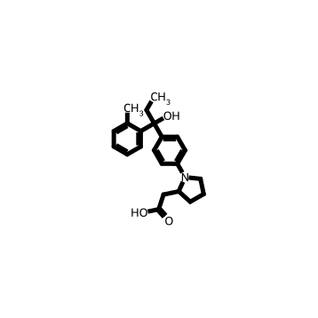 CCC(O)(c1ccc(N2CCCC2CC(=O)O)cc1)c1ccccc1C